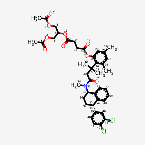 CC(=O)OCC(COC(C)=O)OC(=O)CCC(=O)Oc1cc(C)cc(C)c1C(C)(C)CC(=O)N(C)C1CC[C@@H](c2ccc(Cl)c(Cl)c2)c2ccccc21